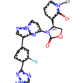 CCn1cccc([C@H]2COC(=O)N2c2ccn3ncc(-c4ccc(-c5nc[nH]n5)c(F)c4)c3n2)c1=O